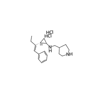 CCC(=Cc1ccccc1)[C@@H]1CC1NCC1CCNCC1.Cl.Cl